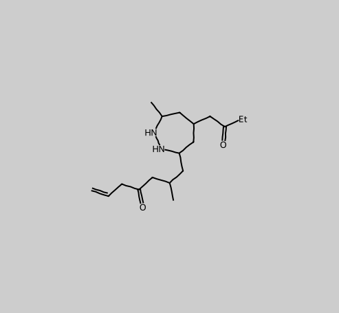 C=CCC(=O)CC(C)CC1CC(CC(=O)CC)CC(C)NN1